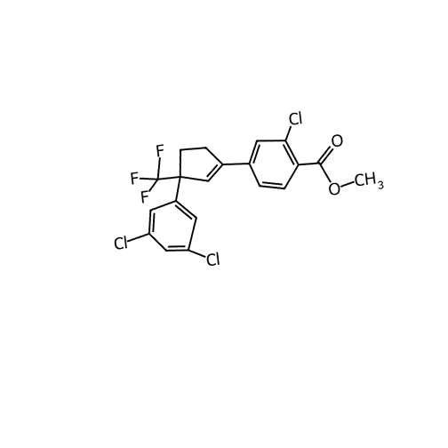 COC(=O)c1ccc(C2=CC(c3cc(Cl)cc(Cl)c3)(C(F)(F)F)CC2)cc1Cl